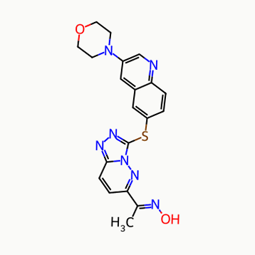 CC(=NO)c1ccc2nnc(Sc3ccc4ncc(N5CCOCC5)cc4c3)n2n1